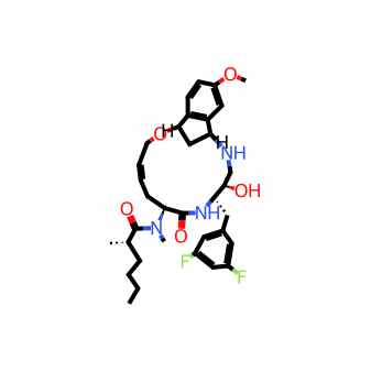 CCCC[C@H](C)C(=O)N(C)[C@H]1CC=CCO[C@@H]2C[C@H](NC[C@@H](O)[C@H](Cc3cc(F)cc(F)c3)NC1=O)c1cc(OC)ccc12